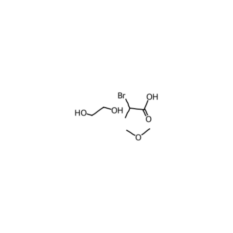 CC(Br)C(=O)O.COC.OCCO